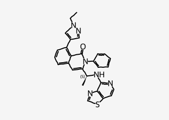 CCn1cc(-c2cccc3cc([C@H](C)Nc4nccc5scnc45)n(-c4ccccc4)c(=O)c23)cn1